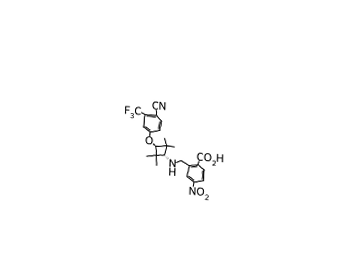 CC1(C)[C@H](NCc2cc([N+](=O)[O-])ccc2C(=O)O)C(C)(C)[C@H]1Oc1ccc(C#N)c(C(F)(F)F)c1